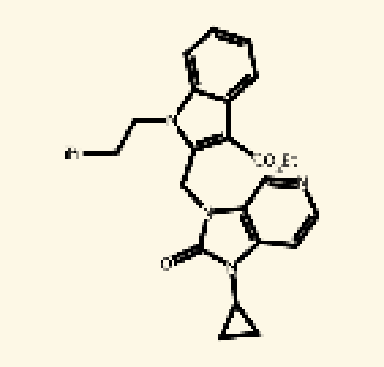 CCOC(=O)c1c(Cn2c(=O)n(C3CC3)c3ccncc32)n(CCC(C)C)c2ccccc12